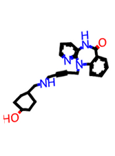 O=C1Nc2cccnc2N(CC#CCNCC2CCC(O)CC2)c2ccccc21